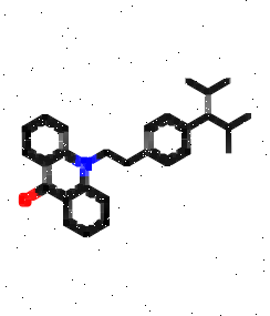 CC(C)C(c1ccc(CCn2c3ccccc3c(=O)c3ccccc32)cc1)C(C)C